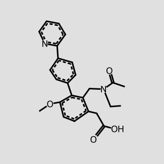 CCN(Cc1c(CC(=O)O)ccc(OC)c1-c1ccc(-c2ccccn2)cc1)C(C)=O